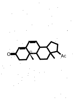 CC(=O)C1CCC2C3C=CC4=CC(=O)CC[C@@]4(C)C3CCC12C